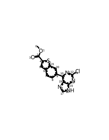 COC(=O)c1cc2ccc(-c3nc(Cl)nc4[nH]cnc34)cc2s1